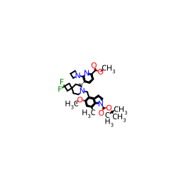 COC(=O)c1ccc([C@H]2CC3(CCN2Cc2c(OC)cc(C)c4c2ccn4C(=O)OC(C)(C)C)CC(F)(F)C3)c(N2CCC2)n1